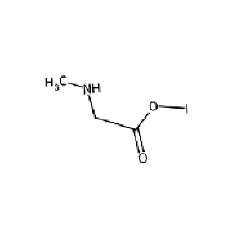 CNCC(=O)OI